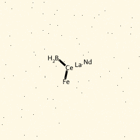 [BH2][Ce][Fe].[La].[Nd]